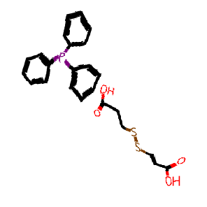 O=C(O)CCSSCCC(=O)O.c1ccc(P(c2ccccc2)c2ccccc2)cc1